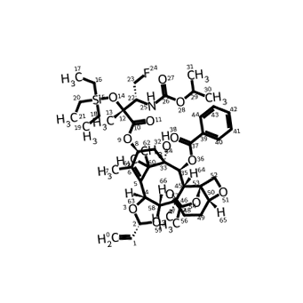 C=C[C@@H]1O[C@@H]2C3=C(C)[C@@H](OC(=O)[C@](C)(O[Si](CC)(CC)CC)[C@H](CF)NC(=O)OC(C)C)C[C@@](O)([C@@H](OC(=O)c4ccccc4)[C@H]4[C@@](C)(CC[C@H]5OC[C@]54OC(C)=O)[C@@H]2O1)C3(C)C